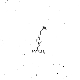 CC(C)[C@H](C)CCN1CCN(CCCCC(C)(C)C)CC1